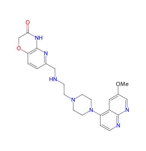 COc1cnc2nccc(N3CCN(CCNCc4ccc5c(n4)NC(=O)CO5)CC3)c2c1